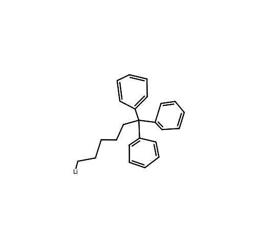 [Li][CH2]CCCCC(c1ccccc1)(c1ccccc1)c1ccccc1